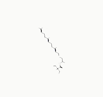 CC(C)=CCC/C(C)=C/CC/C(C)=C/CSCC(NC(=O)C(O)(CC(=O)O)CC(=O)O)C(=O)O